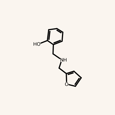 Oc1ccccc1CNCc1ccco1